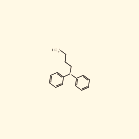 O=S(=O)(O)CCCP(c1ccccc1)c1ccccc1